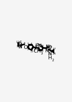 CC(C)C(C)(c1ccc(OCc2nccs2)cc1)c1ccc(-c2noc(C3(N)CC3)n2)cn1